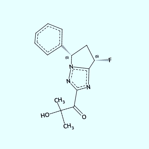 CC(C)(O)C(=O)c1nc2n(n1)[C@H](c1ccccc1)C[C@@H]2F